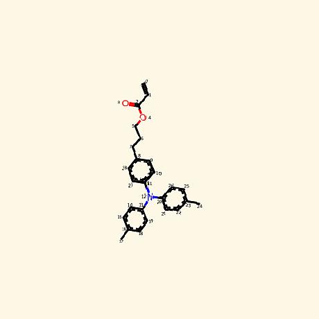 C=CC(=O)OCCCc1ccc(N(c2ccc(C)cc2)c2ccc(C)cc2)cc1